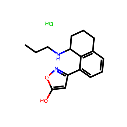 CCCNC1CCCc2cccc(-c3cc(O)on3)c21.Cl